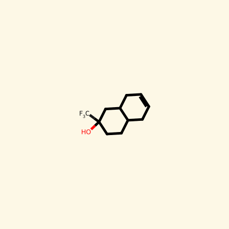 OC1(C(F)(F)F)CCC2CC=CCC2C1